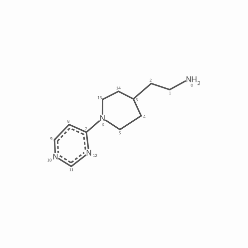 NCCC1CCN(c2ccncn2)CC1